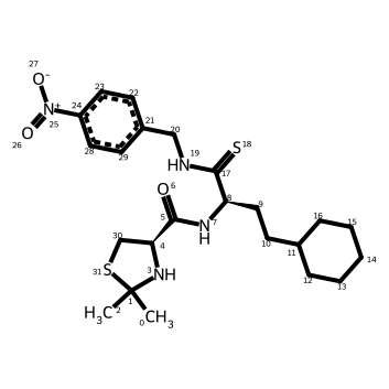 CC1(C)N[C@H](C(=O)N[C@H](CCC2CCCCC2)C(=S)NCc2ccc([N+](=O)[O-])cc2)CS1